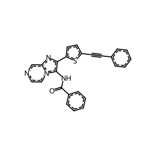 O=C(Nc1c(-c2ccc(C#Cc3ccccc3)s2)nc2cnccn12)c1ccccc1